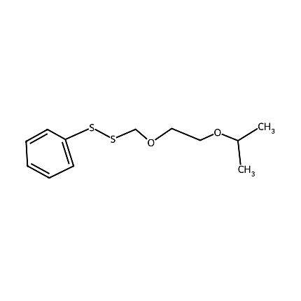 CC(C)OCCOCSSc1ccccc1